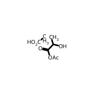 CC(=O)O.CC(=O)OC(=O)C(C)O